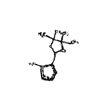 Cn1cccc1B1OC(C)(C)C(C)(C)O1